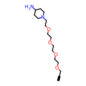 C#CCOCCOCCOCCOCCN1CCC(N)CC1